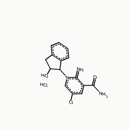 Cl.N=c1c(C(N)=O)cc(Cl)cn1C1c2ccccc2CC1O